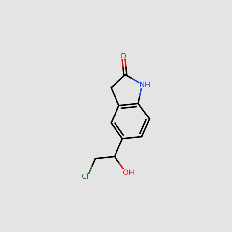 O=C1Cc2cc(C(O)CCl)ccc2N1